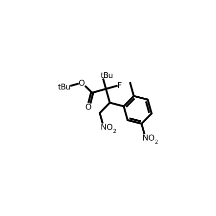 Cc1ccc([N+](=O)[O-])cc1C(C[N+](=O)[O-])C(F)(C(=O)OC(C)(C)C)C(C)(C)C